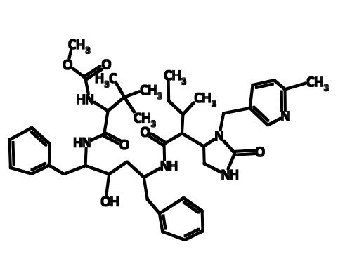 CCC(C)C(C(=O)NC(Cc1ccccc1)CC(O)C(Cc1ccccc1)NC(=O)C(NC(=O)OC)C(C)(C)C)C1CNC(=O)N1Cc1ccc(C)nc1